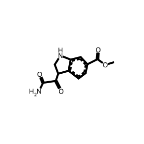 COC(=O)c1ccc2c(c1)NCC2C(=O)C(N)=O